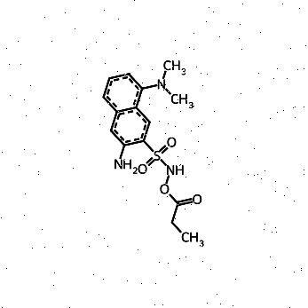 CCC(=O)ONS(=O)(=O)c1cc2c(N(C)C)cccc2cc1N